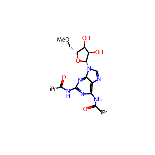 COC[C@H]1O[C@@H](n2cnc3c(NC(=O)C(C)C)nc(NC(=O)C(C)C)nc32)[C@H](O)[C@@H]1O